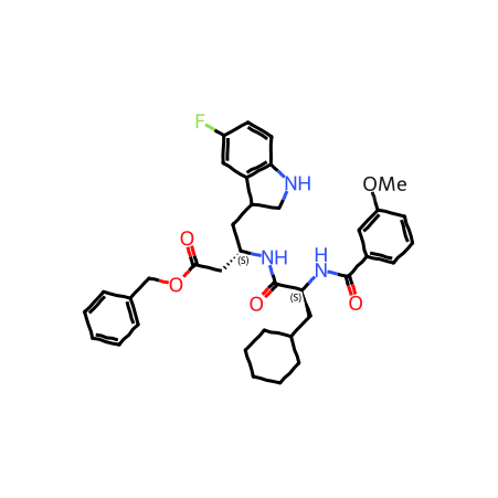 COc1cccc(C(=O)N[C@@H](CC2CCCCC2)C(=O)N[C@H](CC(=O)OCc2ccccc2)CC2CNc3ccc(F)cc32)c1